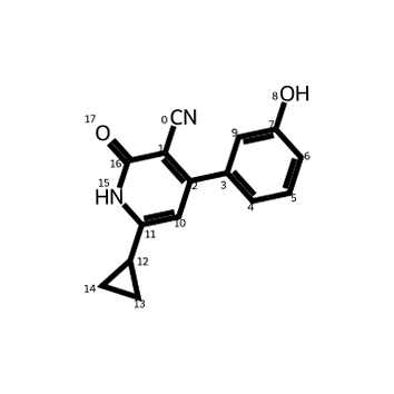 N#Cc1c(-c2cccc(O)c2)cc(C2CC2)[nH]c1=O